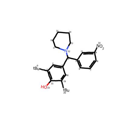 CC(C)(C)c1cc(C(c2cccc([N+](=O)[O-])c2)N2CCCCC2)cc(C(C)(C)C)c1O